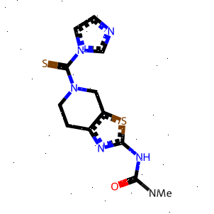 CNC(=O)Nc1nc2c(s1)CN(C(=S)n1ccnc1)CC2